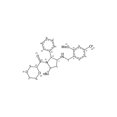 CCCCC1CC(NCc2ccc(C(F)(F)F)cc2OC)C(c2ccccc2)N1C(=O)C1COCCO1